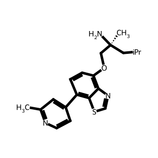 Cc1cc(-c2ccc(OC[C@@](C)(N)CC(C)C)c3ncsc23)ccn1